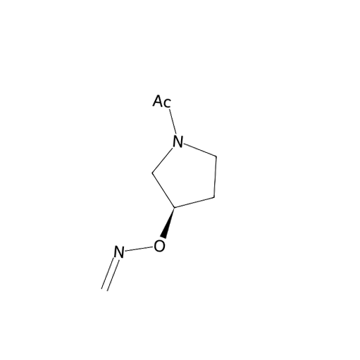 C=NO[C@@H]1CCN(C(C)=O)C1